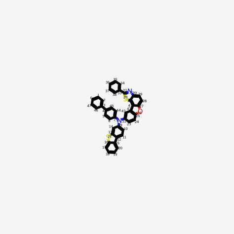 c1ccc(-c2ccc(N(c3ccc4c(c3)sc3ccccc34)c3ccc4oc5ccc6nc(-c7ccccc7)sc6c5c4c3)cc2)cc1